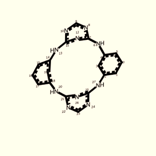 c1cc2cc(c1)Nc1ncnc(n1)Nc1cccc(c1)Nc1ncnc(n1)N2